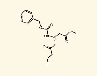 CCCC(=O)C[C@@H](CC(=O)OC)NC(=O)OCc1ccccc1